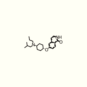 CCCN(CC(C)C)[C@H]1CC[C@H](Oc2ccc3c(=O)[nH]ccc3c2)CC1